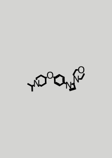 CC(C)N1CCC(Oc2ccc(N3C=CC3N3CCOCC3)cc2)CC1